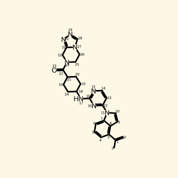 C=C(C)c1cccc2c1ccn2-c1ccnc(NC2CCC(C(=O)N3CCn4cnnc4C3)CC2)n1